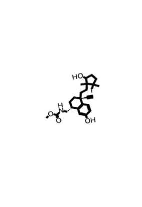 C#C[C@]1(CCC2(C)C(O)CCC2(C)I)CC[C@@H](CNC(=O)OC)c2cc(O)ccc21